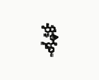 CC(C)N(C)C[C@@H](C(=O)N1CCN(c2ncnc3c2[C@H](C)CC(=O)N3)[C@H]2C[C@H]21)c1ccc(Cl)cc1